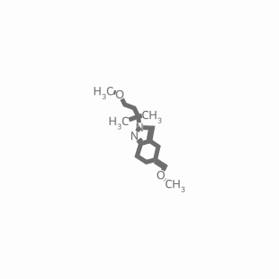 CO/C=C1\CCc2nn(C(C)(C)CCOC)cc2C1